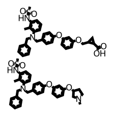 Cc1c(NS(C)(=O)=O)cccc1N(Cc1ccccc1)Cc1ccc(Oc2cccc(OC3CCN(C)C3)c2)cc1.Cc1c(NS(C)(=O)=O)cccc1N(Cc1ccccc1)Cc1ccc(Oc2cccc(OCC3CC3C(=O)O)c2)cc1